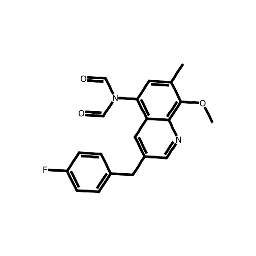 COc1c(C)cc(N(C=O)C=O)c2cc(Cc3ccc(F)cc3)cnc12